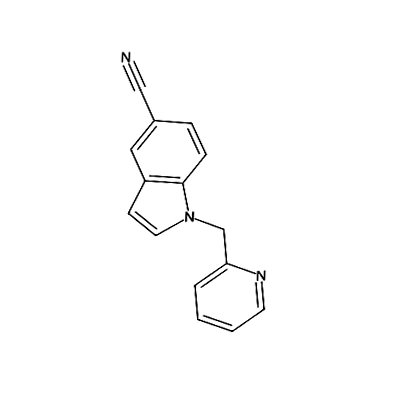 N#Cc1ccc2c(ccn2Cc2ccccn2)c1